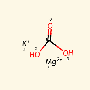 O=C(O)O.[K+].[Mg+2]